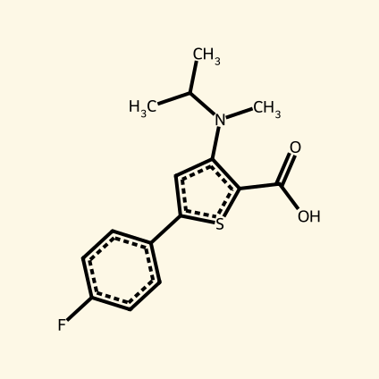 CC(C)N(C)c1cc(-c2ccc(F)cc2)sc1C(=O)O